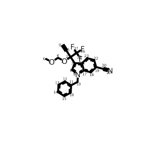 C#CC(OCOC)(c1cn(Cc2ccccc2)c2cc(C#N)ccc12)C(F)(F)F